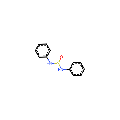 [O-][S+](Nc1ccccc1)Nc1ccccc1